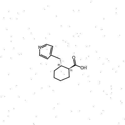 O=C(O)[C@H]1CCCC[C@@H]1Cc1ccncc1